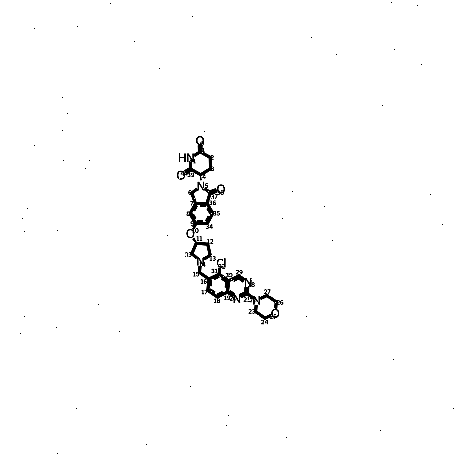 O=C1CC[C@H](N2Cc3cc(O[C@H]4CCN(Cc5ccc6nc(N7CCOCC7)ncc6c5Cl)C4)ccc3C2=O)C(=O)N1